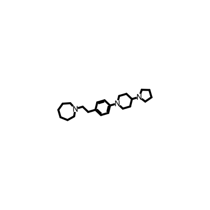 c1cc(N2CCC(N3CCCC3)CC2)ccc1CCN1CCCCCC1